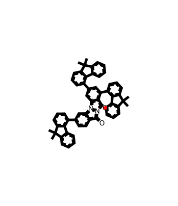 CC1(C)c2ccccc2-c2c(-c3ccc4c(=O)n5c(=O)c6c(-c7cccc8c7-c7ccccc7C8(C)C)cc(-c7cccc8c7-c7ccccc7C8(C)C)cc6n5c4c3)cccc21